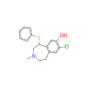 CN1CCc2cc(Cl)c(O)cc2C(Sc2ccccc2)C1